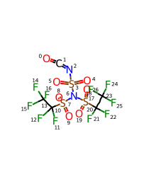 O=C=NS(=O)(=O)N(S(=O)(=O)C(F)(F)C(F)(F)F)S(=O)(=O)C(F)(F)C(F)(F)F